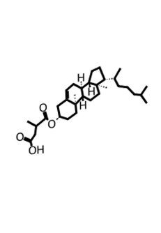 CC(C)CCCC(C)[C@H]1CC[C@H]2[C@@H]3CC=C4C[C@@H](OC(=O)C(C)CC(=O)O)CC[C@]4(C)[C@H]3CC[C@]12C